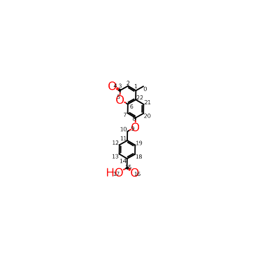 Cc1cc(=O)oc2cc(OCc3ccc(C(=O)O)cc3)ccc12